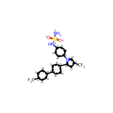 NS(=O)(=O)Nc1ccc(-n2cc(C(F)(F)F)cc2-c2ccc(-c3ccc(C(F)(F)F)cc3)cc2)cc1